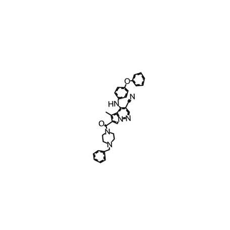 Cc1c(C(=O)N2CCN(Cc3ccccc3)CC2)cn2ncc(C#N)c(Nc3ccc(Oc4ccccc4)cc3)c12